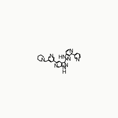 c1cncc(-c2nccc3[nH]c(-c4n[nH]c5cnc(-c6cncc(CN7CCCCC7)c6)cc45)nc23)c1